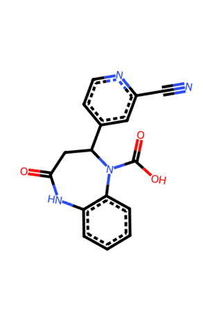 N#Cc1cc(C2CC(=O)Nc3ccccc3N2C(=O)O)ccn1